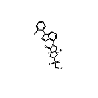 CC(C)CS(=O)(=O)N1C[C@@H]2CN(c3cccc4c3cnn4-c3ccccc3F)C(=O)[C@@H]2C1